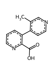 Cc1cnccc1-c1cccnc1C(=O)O